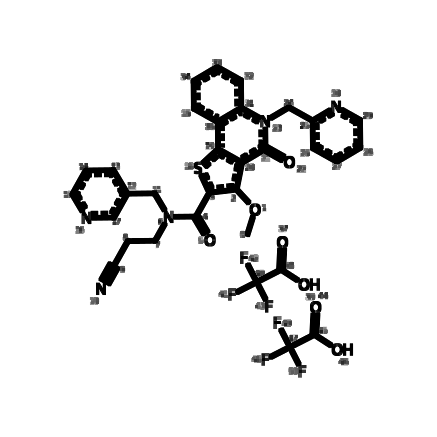 COc1c(C(=O)N(CCC#N)Cc2cccnc2)sc2c1c(=O)n(Cc1ccccn1)c1ccccc21.O=C(O)C(F)(F)F.O=C(O)C(F)(F)F